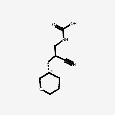 N#CC(CNC(=O)O)C[C@@H]1CCCOC1